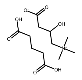 C[N+](C)(C)CC(O)CC(=O)[O-].O=C(O)CCCC(=O)O